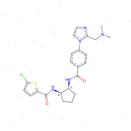 CN(C)Cc1nccn1-c1ccc(C(=O)N[C@H]2CCC[C@H]2NC(=O)c2ccc(Cl)s2)cc1